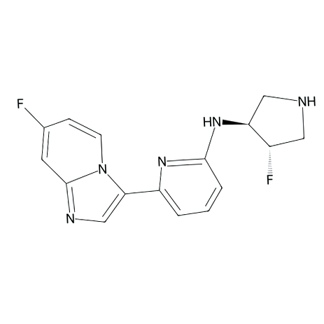 Fc1ccn2c(-c3cccc(N[C@H]4CNC[C@@H]4F)n3)cnc2c1